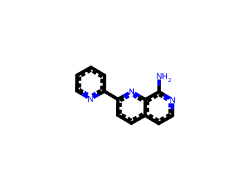 Nc1nccc2ccc(-c3ccccn3)nc12